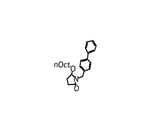 CCCCCCCCOC1CCC(=O)N1Cc1ccc(-c2ccccc2)cc1